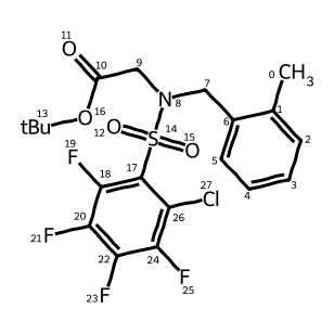 Cc1ccccc1CN(CC(=O)OC(C)(C)C)S(=O)(=O)c1c(F)c(F)c(F)c(F)c1Cl